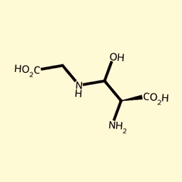 N[C@H](C(=O)O)C(O)NCC(=O)O